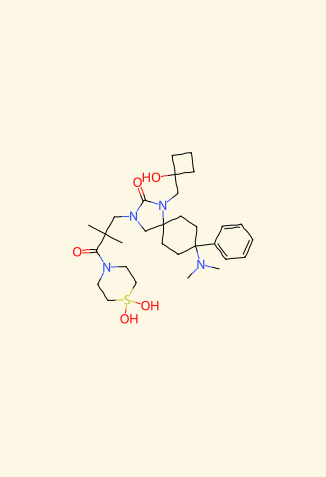 CN(C)C1(c2ccccc2)CCC2(CC1)CN(CC(C)(C)C(=O)N1CCS(O)(O)CC1)C(=O)N2CC1(O)CCC1